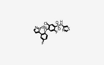 CC(C)(C)n1nccc1-c1cc(F)ccc1Oc1cc(F)c(S(=O)(=O)Nc2cscn2)cc1Cl